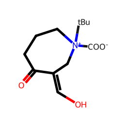 CC(C)(C)[N+]1(C(=O)[O-])CCCC(=O)C(=CO)C1